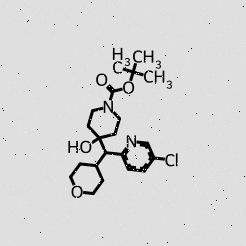 CC(C)(C)OC(=O)N1CCC(O)(C(c2ccc(Cl)cn2)C2CCOCC2)CC1